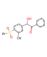 CC(C)S(=O)(=O)c1ccc(C(O)C(=O)c2ccccc2)cc1C#N